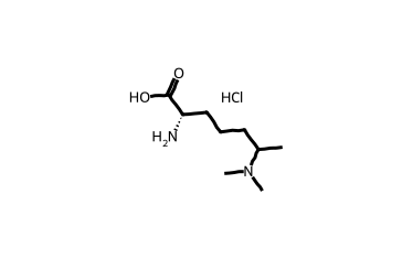 CC(CCC[C@H](N)C(=O)O)N(C)C.Cl